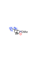 CO/C=C1/CC2(C)c3nn(C)c(-c4ncn(C)n4)c3CC[C@H]2C(C)(C)C1=O